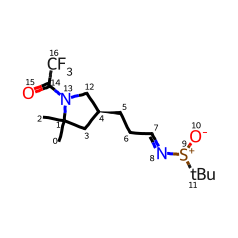 CC1(C)C[C@H](CCC=N[S+]([O-])C(C)(C)C)CN1C(=O)C(F)(F)F